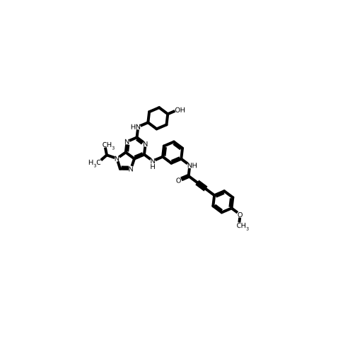 COc1ccc(C#CC(=O)Nc2cccc(Nc3nc(NC4CCC(O)CC4)nc4c3ncn4C(C)C)c2)cc1